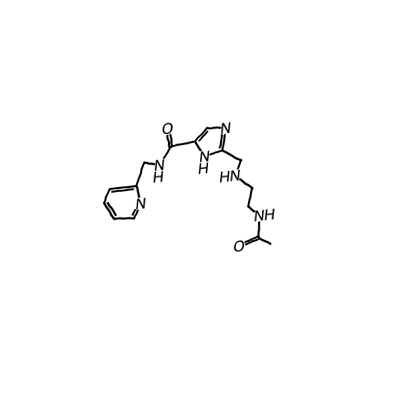 CC(=O)NCCNCc1ncc(C(=O)NCc2ccccn2)[nH]1